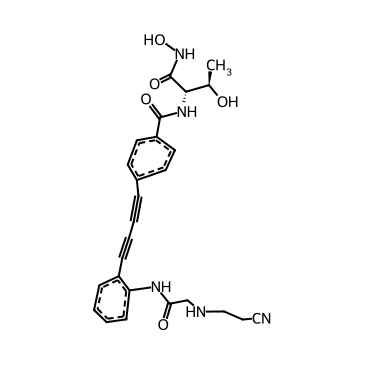 C[C@@H](O)[C@H](NC(=O)c1ccc(C#CC#Cc2ccccc2NC(=O)CNCCC#N)cc1)C(=O)NO